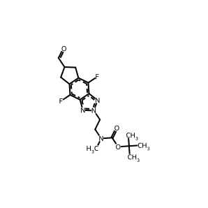 CN(CCn1nc2c(F)c3c(c(F)c2n1)CC(C=O)C3)C(=O)OC(C)(C)C